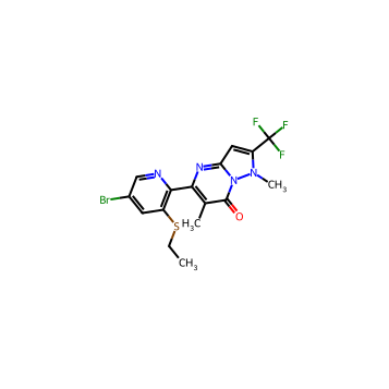 CCSc1cc(Br)cnc1-c1nc2cc(C(F)(F)F)n(C)n2c(=O)c1C